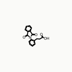 O=C(O)CCc1ccccc1N1C(=O)c2ccccc2C1=O